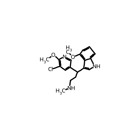 CNCCC(c1cnc(OC)c(Cl)c1)c1c[nH]c2cccc(OC)c12